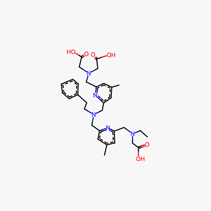 CCN(CC(=O)O)Cc1cc(C)cc(CN(CCc2ccccc2)Cc2cc(C)cc(CN(CC(=O)O)CC(=O)O)n2)n1